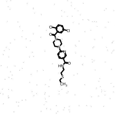 CCSCCNC(=O)c1ccc(N2CCN(C(=O)c3cc(Cl)ccc3Cl)CC2)nc1